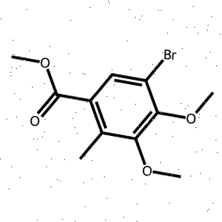 COC(=O)c1cc(Br)c(OC)c(OC)c1C